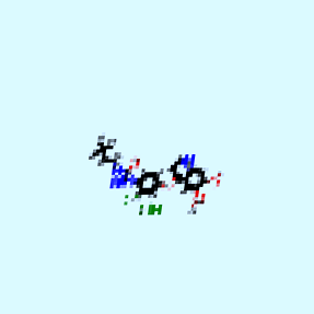 COc1cc2nccc(Oc3ccc(NC(=O)NCCC(C)(C)C)c(Cl)c3)c2cc1OC.Cl